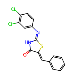 O=C1N/C(=N\c2ccc(Cl)c(Cl)c2)S/C1=C\c1ccccc1